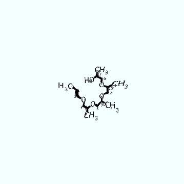 CC=COCC(C)OCC(C)OCC(C)OCC(C)O